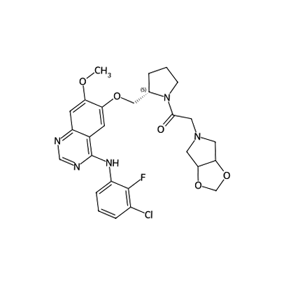 COc1cc2ncnc(Nc3cccc(Cl)c3F)c2cc1OC[C@@H]1CCCN1C(=O)CN1CC2OCOC2C1